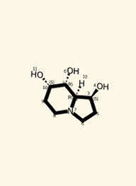 O[C@@H]1[C@H]2[C@@H](O)CCN2C[CH][C@@H]1O